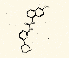 COc1ccc2c(NC(=O)Nc3cccc(C4CCCOC4)n3)ccnc2c1